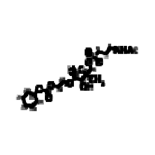 CC(=O)NCCCS(=O)(=O)OCC(C)(C)[C@@H](O)C(=O)OCCOC(=O)OC1CCCCC1